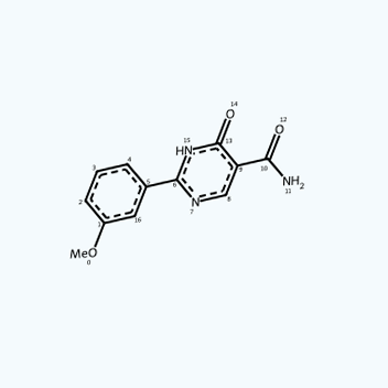 COc1cccc(-c2ncc(C(N)=O)c(=O)[nH]2)c1